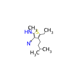 CCc1sc(NC)c(C#N)c1CCC(C)C